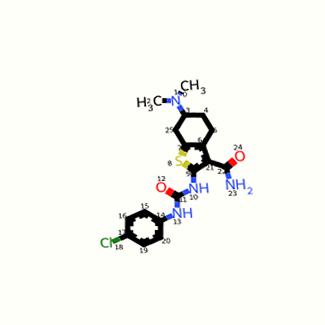 CN(C)C1CCc2c(sc(NC(=O)Nc3ccc(Cl)cc3)c2C(N)=O)C1